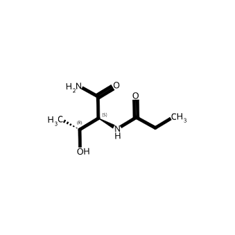 CCC(=O)N[C@H](C(N)=O)[C@@H](C)O